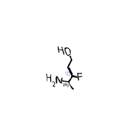 C[C@@H](N)/C(F)=C/CO